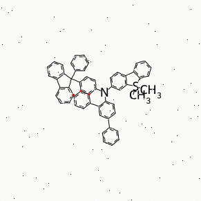 CS1(C)c2ccccc2-c2ccc(N(c3ccc(C4(c5ccccc5)c5ccccc5-c5ccccc54)cc3)c3ccc(-c4ccccc4)cc3-c3ccccc3)cc21